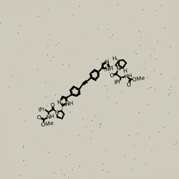 COC(=O)NC(C(=O)N1CCC[C@H]1c1ncc(-c2ccc(C#Cc3ccc(-c4cnc([C@@H]5[C@H]6CC[C@H](C6)N5C(=O)C(NC(=O)OC)C(C)C)[nH]4)cc3)cc2)[nH]1)C(C)C